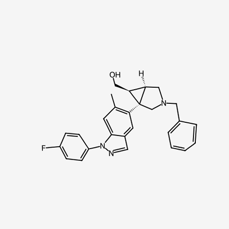 Cc1cc2c(cnn2-c2ccc(F)cc2)cc1[C@@]12CN(Cc3ccccc3)C[C@@H]1[C@@H]2CO